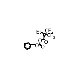 CCC1C(C(=O)OC(=O)OCc2ccccc2)C1(C(F)(F)F)C(F)(F)F